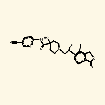 Cc1c(C(O)CN2CCC(O)(C(=O)Nc3ccc(C#N)cn3)CC2)ccc2c1COC2=O